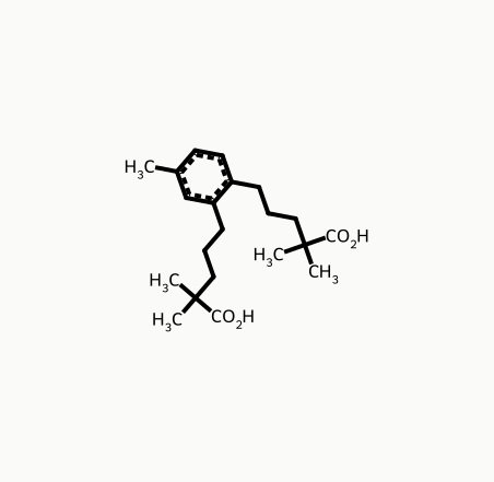 Cc1ccc(CCCC(C)(C)C(=O)O)c(CCCC(C)(C)C(=O)O)c1